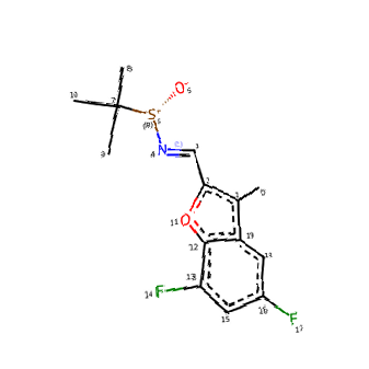 Cc1c(/C=N/[S@@+]([O-])C(C)(C)C)oc2c(F)cc(F)cc12